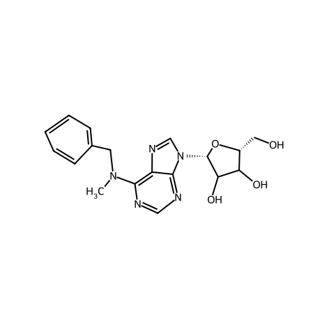 CN(Cc1ccccc1)c1ncnc2c1ncn2[C@@H]1O[C@H](CO)C(O)C1O